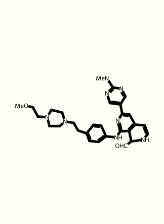 CNc1ncc(-c2cc3c(c(Nc4ccc(CCN5CCN(CCOC)CC5)cc4)n2)C(C=O)NC=C3)cn1